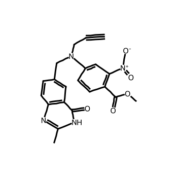 C#CCN(Cc1ccc2nc(C)[nH]c(=O)c2c1)c1ccc(C(=O)OC)c([N+](=O)[O-])c1